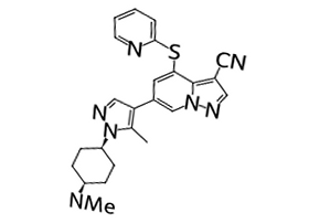 CN[C@H]1CC[C@@H](n2ncc(-c3cc(Sc4ccccn4)c4c(C#N)cnn4c3)c2C)CC1